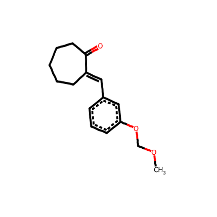 COCOc1cccc(C=C2CCCCCC2=O)c1